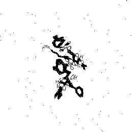 CCCCCCCCCCCCCC#C[C@@]1(OS(=O)(=O)c2ccc(C)cc2CC2O[C@@H]3OC(C)(C)O[C@@H]3[C@@]2(O)C#CC2CCCCC2)C(COS(=O)(=O)c2ccc(C)cc2)O[C@@H]2OC(C)(C)O[C@@H]21